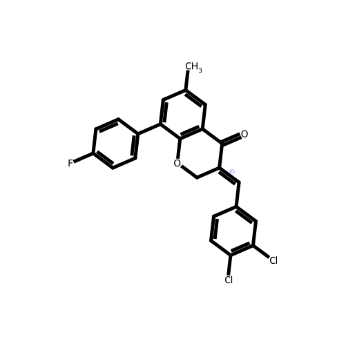 Cc1cc2c(c(-c3ccc(F)cc3)c1)OC/C(=C\c1ccc(Cl)c(Cl)c1)C2=O